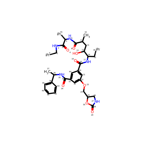 CC(C)CNC(=O)C(NC(=O)C(C)CC(O)C(CC(C)C)NC(=O)c1cc(OCC2CNC(=O)O2)cc(C(=O)NC(C)c2ccccc2)c1)C(C)C